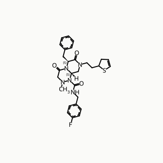 CN1CC(=O)N2[C@@H](Cc3ccccc3)C(=O)N(CCC3CC=CS3)C[C@@H]2N1C(=O)NCc1ccc(F)cc1